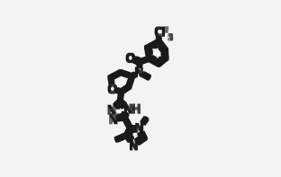 Cc1ncn(C)c1-c1nnc(C2CC(N(C)C(=O)c3cccc(C(F)(F)F)c3)CCO2)[nH]1